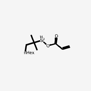 C=CC(=O)O[SiH2]C(C)(C)CCCCCCC